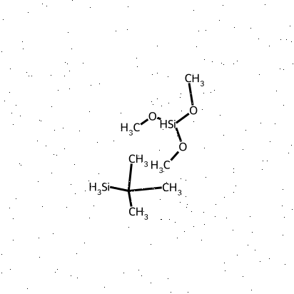 CC(C)(C)[SiH3].CO[SiH](OC)OC